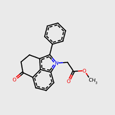 COC(=O)Cn1c(-c2ccccc2)c2c3c(cccc31)C(=O)CC2